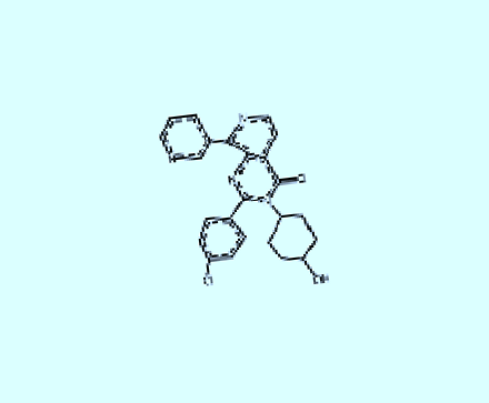 O=c1c2ccnc(-c3cccnc3)c2nc(-c2ccc(Cl)cc2)n1C1CCC(O)CC1